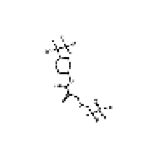 C=C(COCC(F)(F)S(=O)(=O)O)C(=O)OC1CCC(C(C)(O)C(F)(F)F)CC1